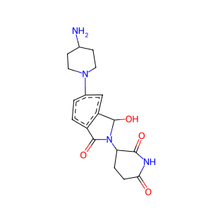 NC1CCN(c2ccc3c(c2)C(O)N(C2CCC(=O)NC2=O)C3=O)CC1